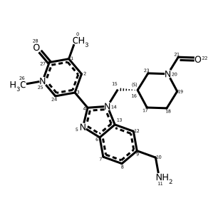 Cc1cc(-c2nc3ccc(CN)cc3n2C[C@H]2CCCN(C=O)C2)cn(C)c1=O